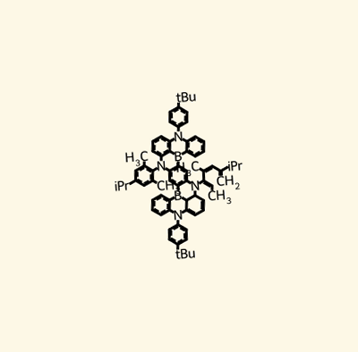 C=C(/C=C(C)\C(=C\C)N1c2cc3c(cc2B2c4ccccc4N(c4ccc(C(C)(C)C)cc4)C4=CC=CC1C24)N(c1c(C)cc(C(C)C)cc1C)c1cccc2c1B3c1ccccc1N2c1ccc(C(C)(C)C)cc1)C(C)C